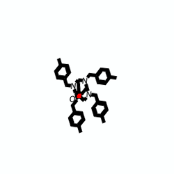 Cc1ccc(CN2C3CC4N(Cc5ccc(C)cc5)C2C(=O)C(N3Cc2ccc(C)cc2)N4Cc2ccc(C)cc2)cc1